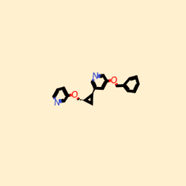 c1ccc(COc2cncc([C@H]3C[C@@H]3COc3cccnc3)c2)cc1